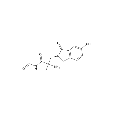 CC(N)(CN1Cc2ccc(O)cc2C1=O)C(=O)NC=O